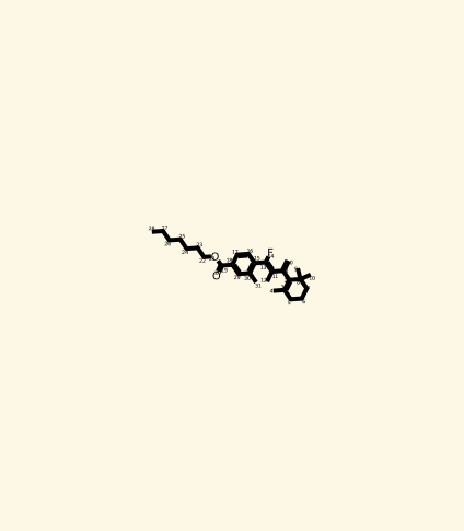 C=C(C1=C(C)CCCC1(C)C)/C(C)=C(\F)c1ccc(C(=O)OCCCCCCC)cc1C